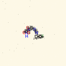 CC1(C)CCC(CN2CC3CN(Cc4ccc5c(c4)CN(C4CCC(=O)NC4=O)C5=O)CC3C2)=C(c2ccc(F)cc2)C1